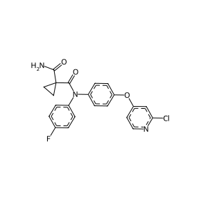 NC(=O)C1(C(=O)N(c2ccc(F)cc2)c2ccc(Oc3ccnc(Cl)c3)cc2)CC1